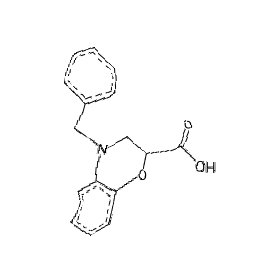 O=C(O)C1CN(Cc2ccccc2)c2ccccc2O1